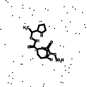 CC(ONC(=O)[C@@H]1CC[C@@H]2CN1C(=O)N2OS(=O)(=O)O)C1CCCN1